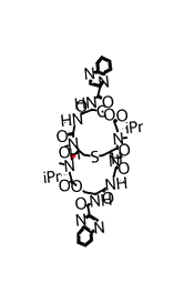 CC(C)[C@H]1C(=O)OC[C@@H](NC(=O)c2cnc3ccccc3n2)C(=O)N[C@@H](C)C(=O)N(C)[C@H]2CSC[C@@H](C(=O)N1C)N(C)C(=O)[C@H](C)NC(=O)[C@H](NC(=O)c1cnc3ccccc3n1)COC(=O)[C@H](C(C)C)N(C)C2=O